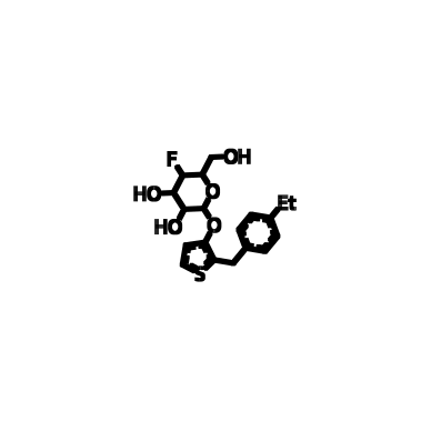 CCc1ccc(Cc2sccc2OC2OC(CO)C(F)C(O)C2O)cc1